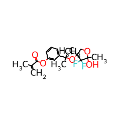 C=C(C)C(=O)Oc1cccc(C(C)(C)OC2(C)COC(C)(O)C2(F)F)c1